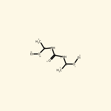 CCOC(C)NC(=O)NC(C)OCC